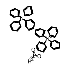 [H+].[O-]P([O-])[O-].c1ccc([N+](c2ccccc2)(c2ccccc2)c2ccccc2)cc1.c1ccc([N+](c2ccccc2)(c2ccccc2)c2ccccc2)cc1